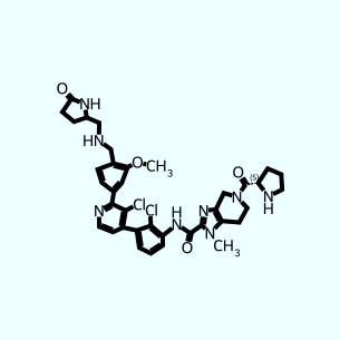 COc1cc(-c2nccc(-c3cccc(NC(=O)c4nc5c(n4C)CCN(C(=O)[C@@H]4CCCN4)C5)c3Cl)c2Cl)ccc1CNCC1CCC(=O)N1